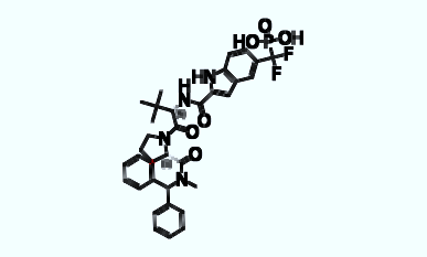 CN(C(=O)[C@@H]1CCCN1C(=O)[C@@H](NC(=O)c1cc2cc(C(F)(F)P(=O)(O)O)ccc2[nH]1)C(C)(C)C)C(c1ccccc1)c1ccccc1